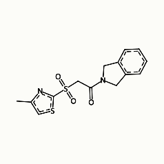 Cc1csc(S(=O)(=O)CC(=O)N2Cc3ccccc3C2)n1